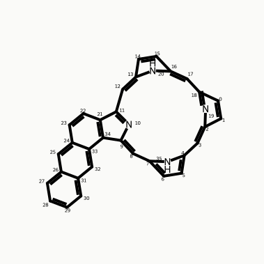 C1=Cc2cc3ccc(cc4nc(cc5ccc(cc1n2)[nH]5)-c1ccc2cc5ccccc5cc2c1-4)[nH]3